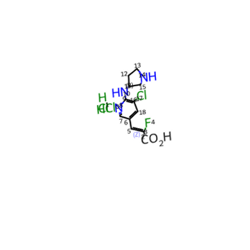 Cl.Cl.O=C(O)/C(F)=C/c1cnc(N[C@@H]2CCNC2)c(Cl)c1